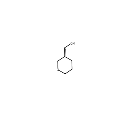 N#CC=C1CCCOC1